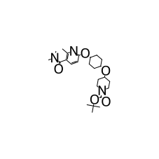 Cc1nc(O[C@H]2CC[C@H](OC3CCN(C(=O)OC(C)(C)C)CC3)CC2)ccc1C(=O)N(C)C